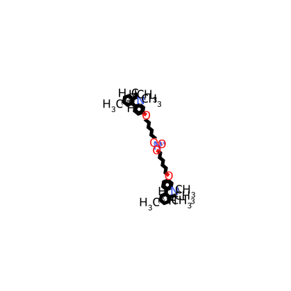 C[C@@H]1CC[C@@H]2[C@@H](C1)c1ccc(OCCCCCCO[N+](=O)OCCCCCCOc3ccc4c(c3)N(C)C(C)(C)[C@@H]3CC[C@@H](C)C[C@@H]43)cc1N(C)C2(C)C